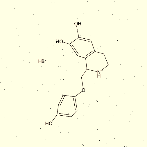 Br.Oc1ccc(OCC2NCCc3cc(O)c(O)cc32)cc1